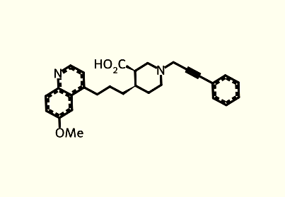 COc1ccc2nccc(CCC[C@@H]3CCN(CC#Cc4ccccc4)C[C@@H]3C(=O)O)c2c1